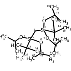 CC(C)O[Si](C[Si](OC(C)C)(OC(C)C)C(C)(C)C)(OC(C)C)C(C)(C)C